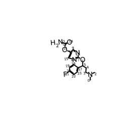 CN(C)CCC(Oc1ncc(OC(N)=O)cn1)c1ccc(F)cc1